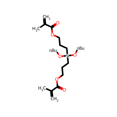 C=C(C)C(=O)OCCC[Si](CCCOC(=O)C(=C)C)(OCCCC)OCCCC